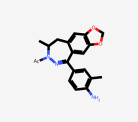 CC(=O)N1N=C(c2ccc(N)c(C)c2)c2cc3c(cc2CC1C)OCO3